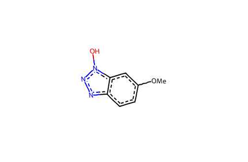 COc1ccc2nnn(O)c2c1